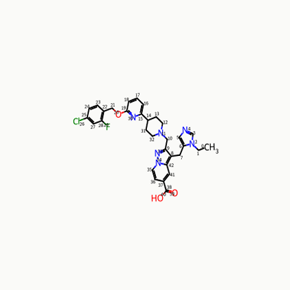 CCn1cncc1Cc1c(CN2CCC(c3cccc(OCc4ccc(Cl)cc4F)n3)CC2)nn2ccc(C(=O)O)cc12